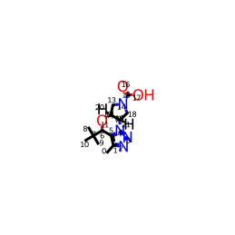 Cc1nnn2c1C(C(C)(C)C)O[C@H]1CN(C(=O)O)C[C@@H]12